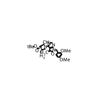 C=C1C(=O)N(Cc2ccc(OC)cc2OC)c2ncnc(N3C[C@@H](C)N(C(=O)OC(C)(C)C)C[C@@H]3C)c21